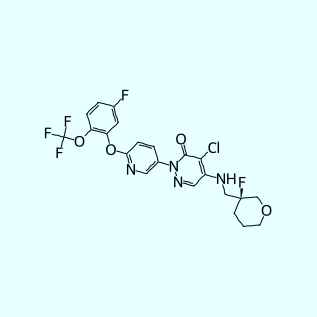 O=c1c(Cl)c(NC[C@@]2(F)CCCOC2)cnn1-c1ccc(Oc2cc(F)ccc2OC(F)(F)F)nc1